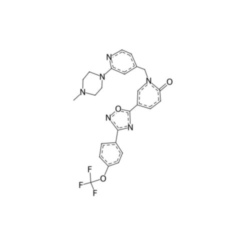 CN1CCN(c2cc(Cn3cc(-c4nc(-c5ccc(OC(F)(F)F)cc5)no4)ccc3=O)ccn2)CC1